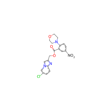 O=C(OCc1cn2cc(Cl)ccc2n1)c1cc([N+](=O)[O-])ccc1N1CCOCC1